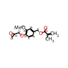 C=C(C)C(=O)OCc1ccc(OCC2CO2)c(OC)c1